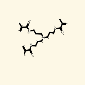 C=C(C)C(=O)OCCCN(CCCOC(=O)C(=C)C)CCCOC(=O)C(=C)C